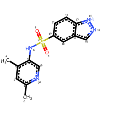 Cc1cc(C)c(NS(=O)(=O)c2ccc3[nH]ncc3c2)cn1